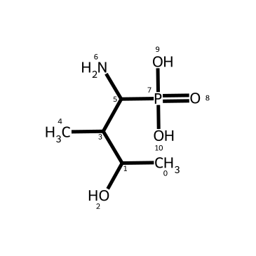 CC(O)C(C)C(N)P(=O)(O)O